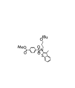 COC(=O)c1ccc(S(=O)(=O)N(CCCOC(C)(C)C)c2sc3ccccc3c2C)cc1